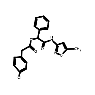 Cc1cc(NC(=O)C(OC(=O)Cc2ccc(Cl)cc2)c2ccccc2)no1